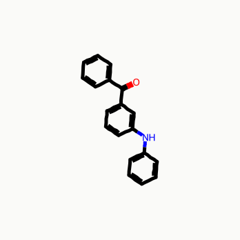 O=C(c1ccccc1)c1cccc(Nc2ccccc2)c1